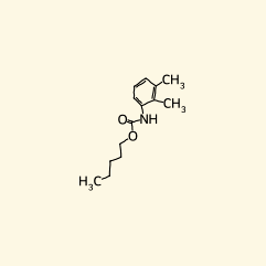 CCCCCOC(=O)Nc1cccc(C)c1C